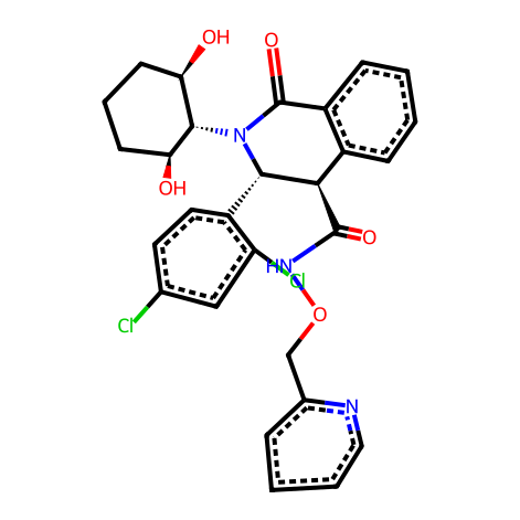 O=C(NOCc1ccccn1)[C@@H]1c2ccccc2C(=O)N([C@H]2[C@H](O)CCC[C@@H]2O)[C@H]1c1ccc(Cl)cc1Cl